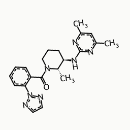 Cc1cc(C)nc(N[C@@H]2CCCN(C(=O)c3ccccc3-n3nccn3)[C@H]2C)n1